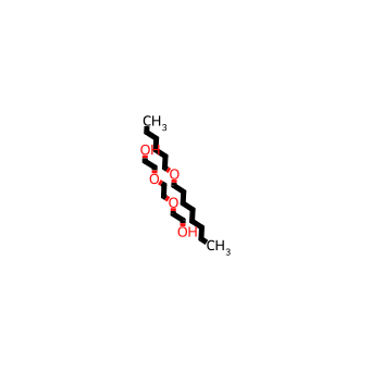 CCCCCCCCOCCCCCC.OCCOCCOCCO